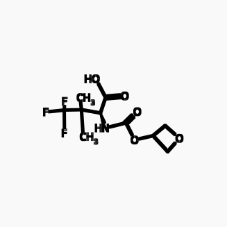 CC(C)([C@H](NC(=O)OC1COC1)C(=O)O)C(F)(F)F